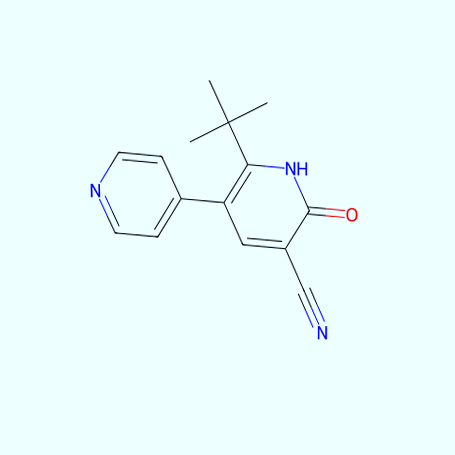 CC(C)(C)c1[nH]c(=O)c(C#N)cc1-c1ccncc1